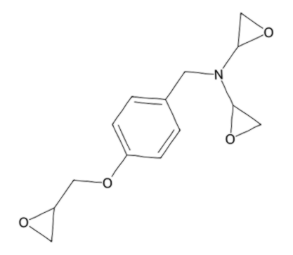 c1cc(OCC2CO2)ccc1CN(C1CO1)C1CO1